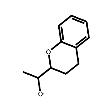 CC([O])C1CCc2ccccc2O1